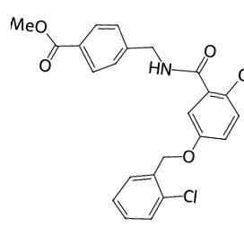 COC(=O)c1ccc(CNC(=O)c2cc(OCc3ccccc3Cl)ccc2Cl)cc1